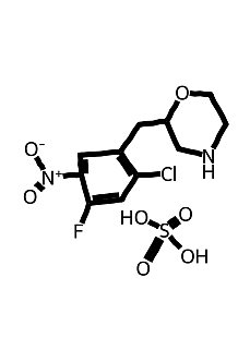 O=S(=O)(O)O.O=[N+]([O-])c1cc(CC2CNCCO2)c(Cl)cc1F